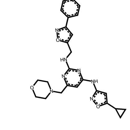 c1ccc(-c2cc(CNc3nc(CN4CCOCC4)cc(Nc4cc(C5CC5)on4)n3)on2)cc1